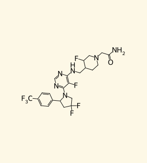 NC(=O)CN1CCC(CNc2ncnc(N3CC(F)(F)CC3c3ccc(C(F)(F)F)cc3)c2F)C(F)C1